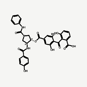 O=C(N[C@H]1CN(C(=O)Nc2ccccc2)C[C@@H]1OC(=O)c1cc(O)c(C(=O)c2c(O)cccc2C(=O)O)c(O)c1)c1ccc(O)cc1